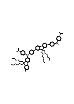 CCCCCCC1(CCCCCC)c2cc(-c3ccc(N(C)c4ccc(C(C)C)cc4)cc3)ccc2-c2ccc(-c3ccc(N(c4ccc(C(C)C)cc4)c4ccc5c(c4)C(CCCCCC)(CCCCCC)c4cc(C)ccc4-5)cc3)cc21